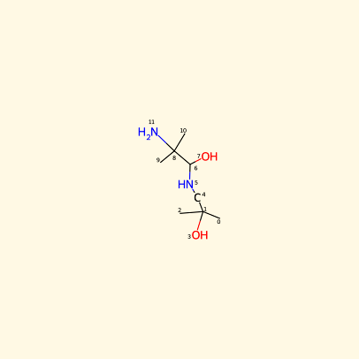 CC(C)(O)CNC(O)C(C)(C)N